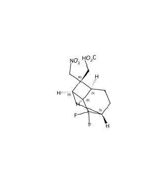 O=C(O)C[C@]1(C[N+](=O)[O-])[C@@H]2C[C@@H]3CC[C@H]1[C@H]2C3(F)F